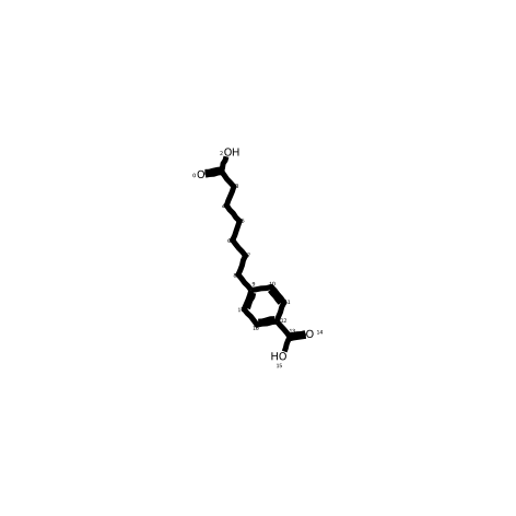 O=C(O)CCCCCCc1ccc(C(=O)O)cc1